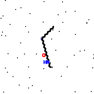 [CH2]CCNCCCC(=O)CCCCCCC/C=C\CCCCCCCC